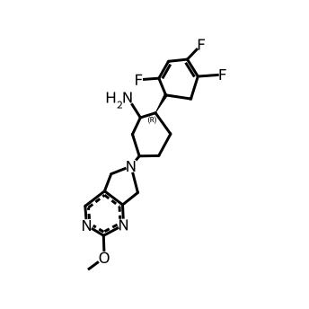 COc1ncc2c(n1)CN(C1CC[C@H](C3CC(F)=C(F)C=C3F)C(N)C1)C2